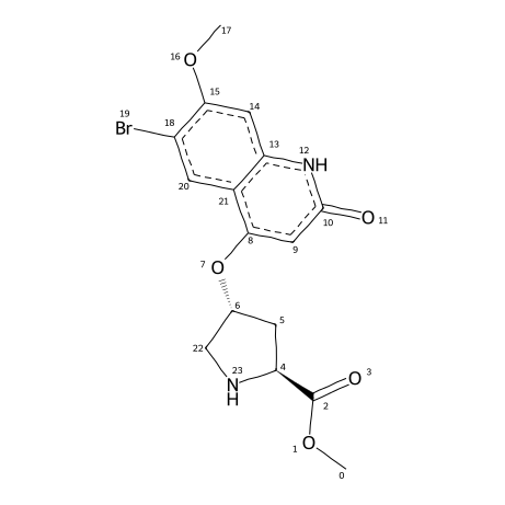 COC(=O)[C@@H]1C[C@@H](Oc2cc(=O)[nH]c3cc(OC)c(Br)cc23)CN1